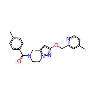 Cc1ccc(C(=O)N2CCn3nc(OCc4cc(C)ccn4)cc3C2)cc1